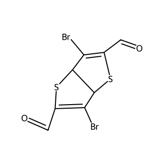 O=CC1=C(Br)C2SC(C=O)=C(Br)C2S1